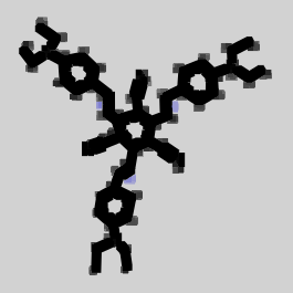 CCN(CC)c1ccc(/C=C/c2c(C#N)c(/C=C/c3ccc(N(CC)CC)cc3)c(C#N)c(/C=C/c3ccc(N(CC)CC)cc3)c2C#N)cc1